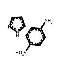 Nc1ccc(S(=O)(=O)O)cc1.c1cn[nH]c1